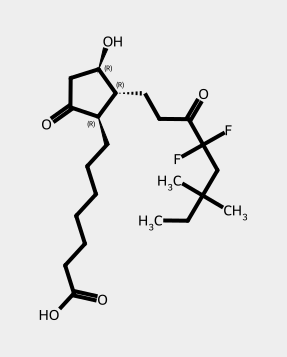 CCC(C)(C)CC(F)(F)C(=O)CC[C@H]1[C@H](O)CC(=O)[C@@H]1CCCCCCC(=O)O